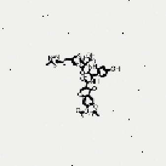 CC(=O)Oc1cc2occ(C(=O)NC(C(=O)N[C@]3(C(=O)O)C(=O)N4C=C(CSc5nnc(C)s5)CS[C@H]43)c3ccc(O)cc3)c(=O)c2cc1OC(C)=O